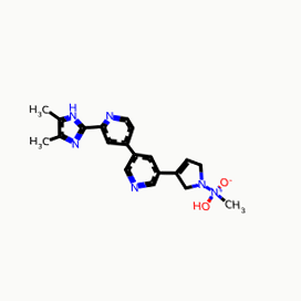 Cc1nc(-c2cc(-c3cncc(C4=CCN([N+](C)([O-])O)C4)c3)ccn2)[nH]c1C